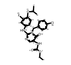 CCOC(=O)Nc1cnc(Nc2ccc(OC(C)C)c(F)c2)n(Cc2ccc(Cl)cc2)c1=O